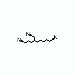 N#CCCCCCC(CC#N)CCCC#N